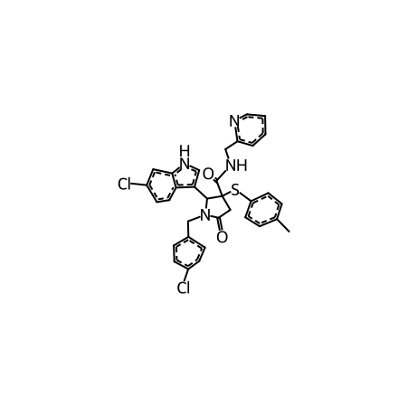 Cc1ccc(SC2(C(=O)NCc3ccccn3)CC(=O)N(Cc3ccc(Cl)cc3)C2c2c[nH]c3cc(Cl)ccc23)cc1